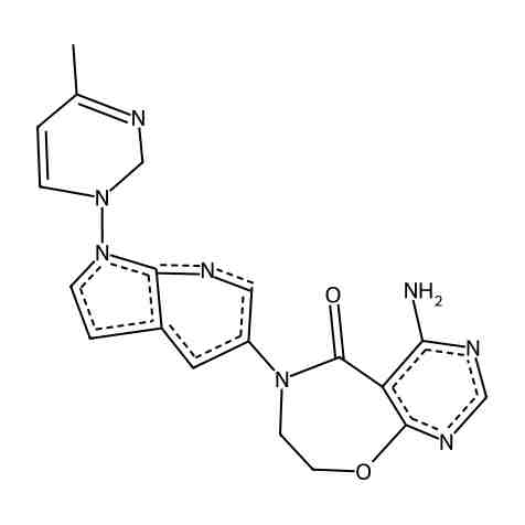 CC1=NCN(n2ccc3cc(N4CCOc5ncnc(N)c5C4=O)cnc32)C=C1